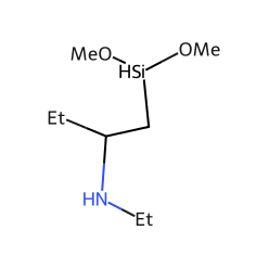 CCNC(CC)C[SiH](OC)OC